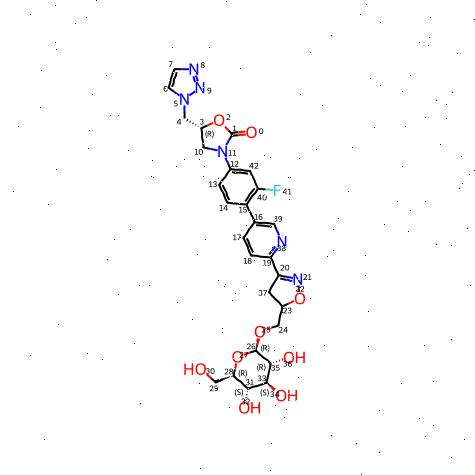 O=C1O[C@@H](Cn2ccnn2)CN1c1ccc(-c2ccc(C3=NOC(CO[C@@H]4O[C@H](CO)[C@@H](O)[C@H](O)[C@H]4O)C3)nc2)c(F)c1